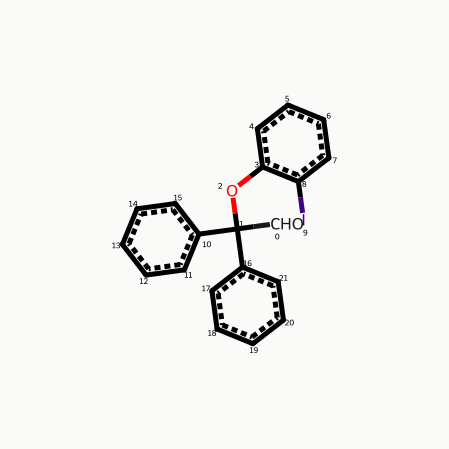 O=CC(Oc1ccccc1I)(c1ccccc1)c1ccccc1